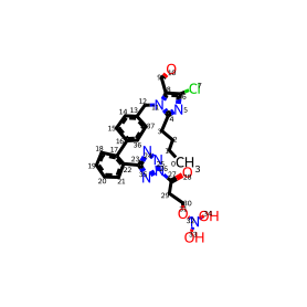 CCCCc1nc(Cl)c(C=O)n1Cc1ccc(-c2ccccc2-c2nnn(C(=O)CCON(O)O)n2)cc1